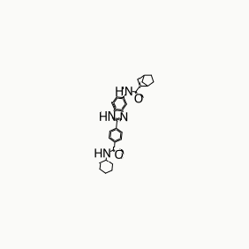 O=C(NC1CCCCC1)c1ccc(-c2nc3cc(NC(=O)C4CC5CCC4C5)ccc3[nH]2)cc1